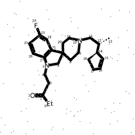 CCC(=O)CCN1CC2(CCN(C[C@H](C)[C@H]3C=CCC3)CC2)c2cc(F)ccc21